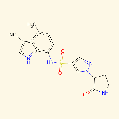 Cc1ccc(NS(=O)(=O)c2cnn(C3CCNC3=O)c2)c2[nH]cc(C#N)c12